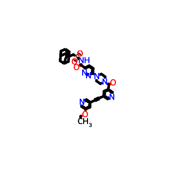 CCOc1cncc(C#Cc2cncc(C(=O)N3CCN(c4ccc(C(=O)NS(=O)(=O)CC56CC7CC(CC(C7)C5)C6)nn4)CC3)c2)c1